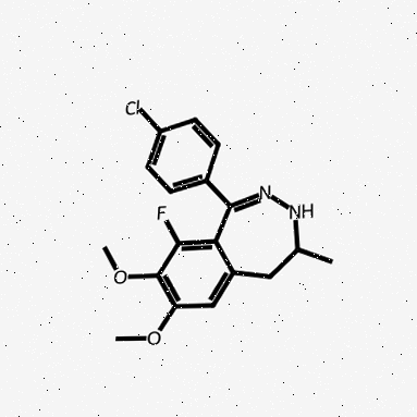 COc1cc2c(c(F)c1OC)C(c1ccc(Cl)cc1)=NNC(C)C2